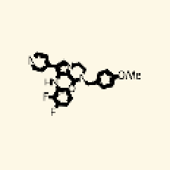 COc1ccc(CN2CCn3cc(-c4ccncc4)c(Nc4cccc(F)c4F)c3C2=O)cc1